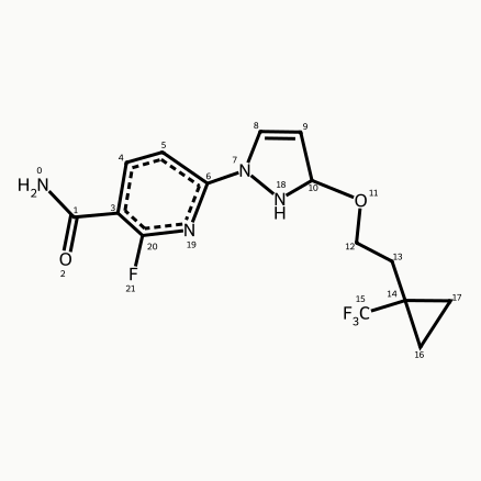 NC(=O)c1ccc(N2C=CC(OCCC3(C(F)(F)F)CC3)N2)nc1F